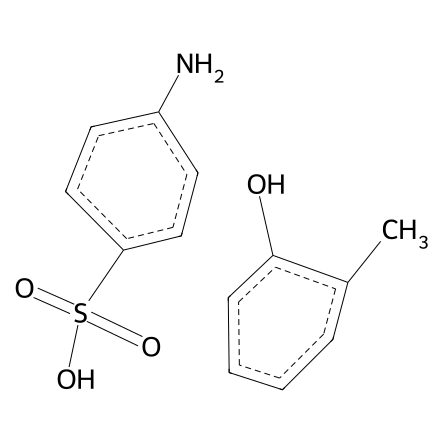 Cc1ccccc1O.Nc1ccc(S(=O)(=O)O)cc1